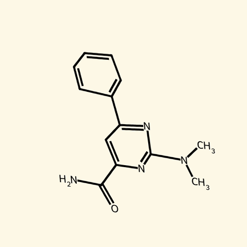 CN(C)c1nc(C(N)=O)cc(-c2ccccc2)n1